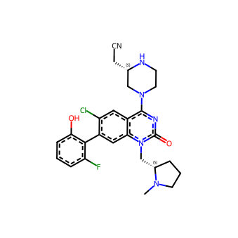 CN1CCC[C@H]1Cn1c(=O)nc(N2CCN[C@@H](CC#N)C2)c2cc(Cl)c(-c3c(O)cccc3F)cc21